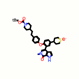 Cn1cc(-c2cc(C3CC[S+]([O-])CC3)ccc2Oc2ccc(CCC3CCN(C(=O)OC(C)(C)C)CC3)cc2)c2cc[nH]c2c1=O